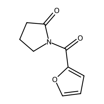 O=C1CCCN1C(=O)c1ccco1